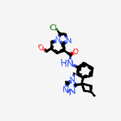 CC1CC(c2cccc(NC(=O)c3cc(C=O)cn4c(Cl)cnc34)c2)(c2nncn2C)C1